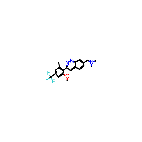 COc1cc(C(F)(F)F)cc(C)c1-c1cc2ccc(CN(C)C)cc2nn1